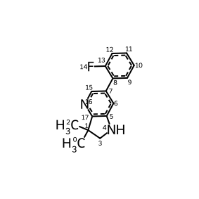 CC1(C)CNc2cc(-c3ccccc3F)cnc21